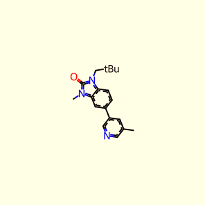 Cc1cncc(-c2ccc3c(c2)n(C)c(=O)n3CC(C)(C)C)c1